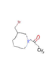 CC(=O)N1CCCC(CBr)C1